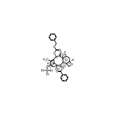 CC[Si](CC)(CC)O[C@H]1C[C@@]2(O)[C@@H](OC(=O)c3ccccc3)[C@@H]3[C@]4(OC(C)=O)CO[C@@H]4C[C@@H](F)[C@@]3(C)C(=O)[C@H](OC(=O)OCc3ccccc3)C(=C1C)C2(C)C